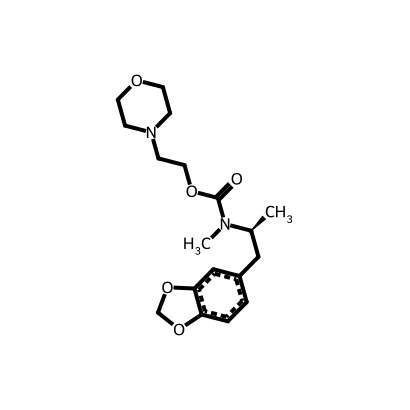 C[C@@H](Cc1ccc2c(c1)OCO2)N(C)C(=O)OCCN1CCOCC1